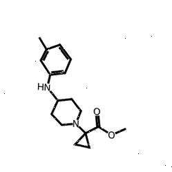 COC(=O)C1(N2CCC(Nc3cccc(C)c3)CC2)CC1